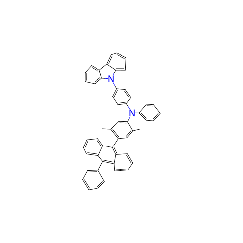 Cc1cc(N(c2ccccc2)c2ccc(-n3c4ccccc4c4ccccc43)cc2)c(C)cc1-c1c2ccccc2c(-c2ccccc2)c2ccccc12